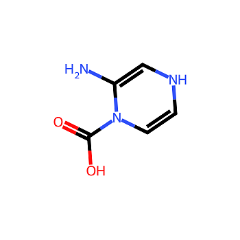 NC1=CNC=CN1C(=O)O